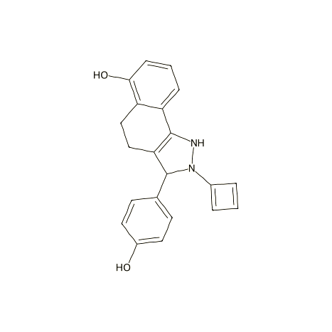 Oc1ccc(C2C3=C(NN2C2=CC=C2)c2cccc(O)c2CC3)cc1